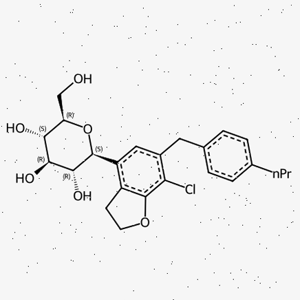 CCCc1ccc(Cc2cc([C@@H]3O[C@H](CO)[C@@H](O)[C@H](O)[C@H]3O)c3c(c2Cl)OCC3)cc1